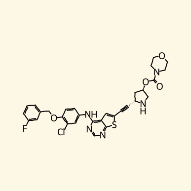 O=C(O[C@H]1CN[C@H](C#Cc2cc3c(Nc4ccc(OCc5cccc(F)c5)c(Cl)c4)ncnc3s2)C1)N1CCOCC1